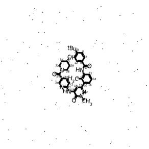 Cc1c(NC(=O)c2ccc(C(C)(C)C)cc2)cccc1-c1cc(Nc2ccc(C(=O)N3CCC(O)CC3)cn2)c(=O)n(C)n1